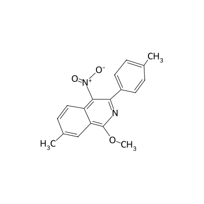 COc1nc(-c2ccc(C)cc2)c([N+](=O)[O-])c2ccc(C)cc12